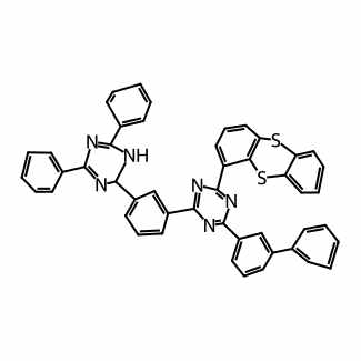 c1ccc(C2=NC(c3cccc(-c4nc(-c5cccc(-c6ccccc6)c5)nc(-c5cccc6c5Sc5ccccc5S6)n4)c3)NC(c3ccccc3)=N2)cc1